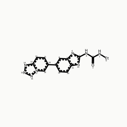 CCNC(=O)Nc1nc2cc(-c3ccc4nnnn4c3)ccc2s1